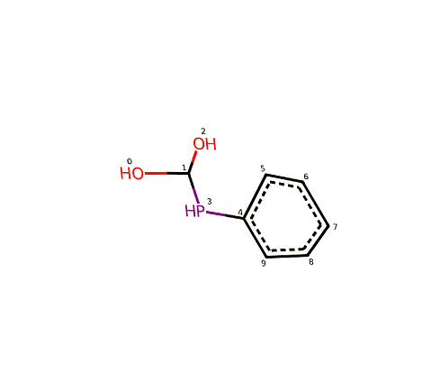 OC(O)Pc1ccccc1